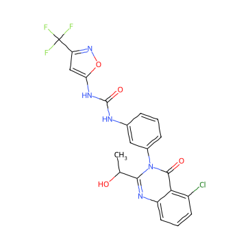 CC(O)c1nc2cccc(Cl)c2c(=O)n1-c1cccc(NC(=O)Nc2cc(C(F)(F)F)no2)c1